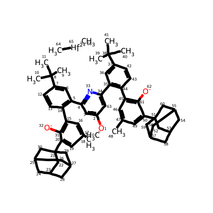 COc1cc(-c2cc(C(C)(C)C)ccc2-c2cc(C)cc(C34CC5CC(CC(C5)C3)C4)c2[O-])nc(-c2cc(C(C)(C)C)ccc2-c2cc(C)cc(C34CC5CC(CC(C5)C3)C4)c2[O-])c1.[CH3][Hf+2][CH3]